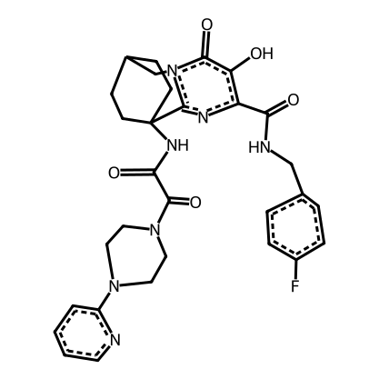 O=C(NC12CCC(CC1)Cn1c2nc(C(=O)NCc2ccc(F)cc2)c(O)c1=O)C(=O)N1CCN(c2ccccn2)CC1